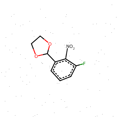 O=[N+]([O-])c1c(F)cccc1C1OCCO1